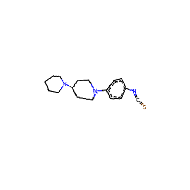 S=C=Nc1ccc(N2CCC(N3CCCCC3)CC2)cc1